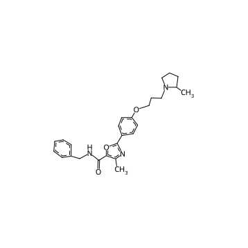 Cc1nc(-c2ccc(OCCCN3CCCC3C)cc2)oc1C(=O)NCc1ccccc1